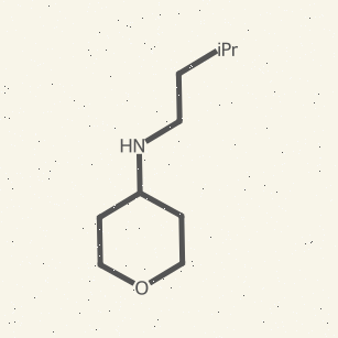 CC(C)CCNC1CCOCC1